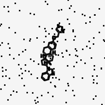 C[C@]12CC[C@@H]3c4ccc(OCc5cscn5)cc4CC[C@H]3[C@@H]1CCC2n1cnc2ccccc21